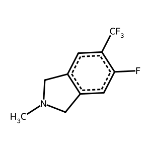 CN1Cc2cc(F)c(C(F)(F)F)cc2C1